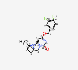 CC1C2CC3(C2)Cn2c(cc(OCc4ccc(F)c(F)c4)nc2=O)N13